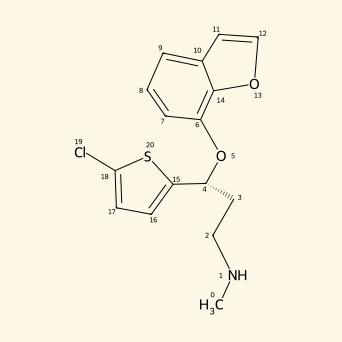 CNCC[C@@H](Oc1cccc2ccoc12)c1ccc(Cl)s1